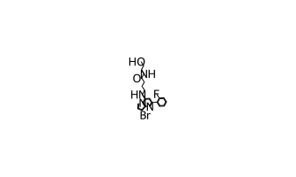 O=C(CCCNc1cc(-c2ccccc2F)nc2c(Br)ccn12)NCCO